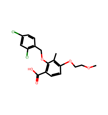 COCCOc1ccc(C(=O)O)c(OCc2ccc(Cl)cc2Cl)c1C